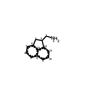 NCC1Cc2cccc3cccc1c23